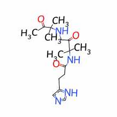 CC(=O)C(C)(C)NCC(=O)C(C)(C)NC(=O)CCc1cnc[nH]1